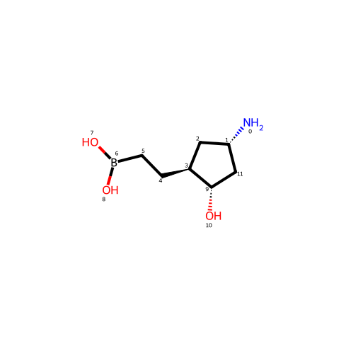 N[C@H]1C[C@H](CCB(O)O)[C@@H](O)C1